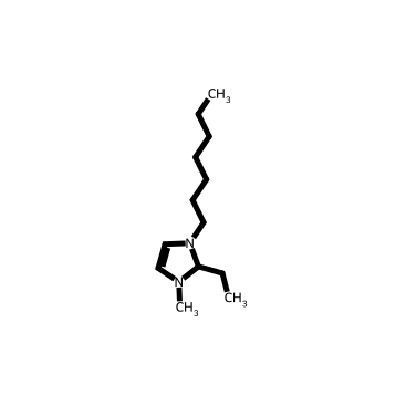 CCCCCCCN1C=CN(C)C1CC